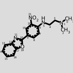 CN(C)CCNc1ccc(-c2nc3ccccc3o2)cc1[N+](=O)[O-]